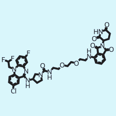 O=C1CCC(N2C(=O)c3cccc(NCCOCCOCCNC(=O)N4CCC(NC5=Nc6cc(F)ccc6N(CC(F)F)c6ccc(Cl)cc65)C4)c3C2=O)C(=O)N1